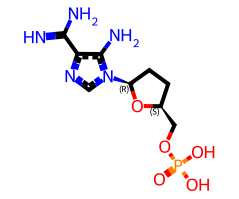 N=C(N)c1ncn([C@H]2CC[C@@H](COP(=O)(O)O)O2)c1N